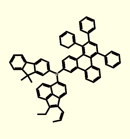 C/C=C\C1=C(CC)c2cccc3c(N(c4ccc5c(c4)C(C)(C)c4ccccc4-5)c4ccc5c(c4)c4ccccc4c4c(-c6ccccc6)cc(-c6ccccc6)c(C6=CC=CCC6)c54)ccc1c23